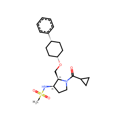 CS(=O)(=O)N[C@@H]1CCN(C(=O)C2CC2)[C@@H]1CO[C@H]1CC[C@@H](c2ccccc2)CC1